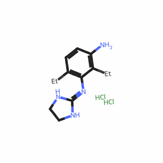 CCc1ccc(N)c(CC)c1N=C1NCCN1.Cl.Cl